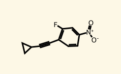 O=[N+]([O-])c1ccc(C#CC2CC2)c(F)c1